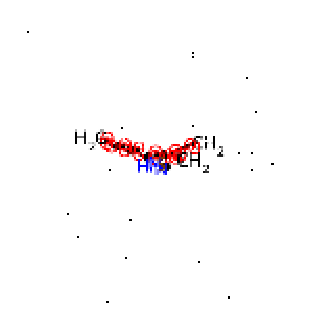 C=CC(=O)OCCCCCOC(COc1ccc(C(=O)Oc2ccc(CCOC(=O)c3ccc(OC(=O)c4ccc(OCOC(=O)C=C)cc4)cc3)cc2/C=N/Nc2nc3ccccc3s2)cc1)OC(=O)C=C